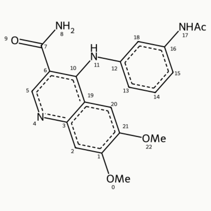 COc1cc2ncc(C(N)=O)c(Nc3cccc(NC(C)=O)c3)c2cc1OC